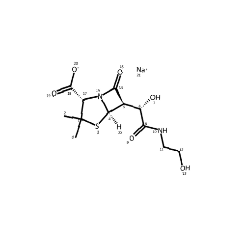 CC1(C)S[C@@H]2[C@H]([C@H](O)C(=O)NCCO)C(=O)N2[C@H]1C(=O)[O-].[Na+]